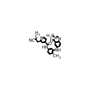 Cc1ccc(NC(=O)c2ccnc(CC(C)C#N)c2)cc1Nc1ccc2ncn(C)c(=O)c2c1